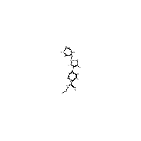 CCOC(=O)c1ccc(-c2nc(-c3cccnc3)cs2)cc1